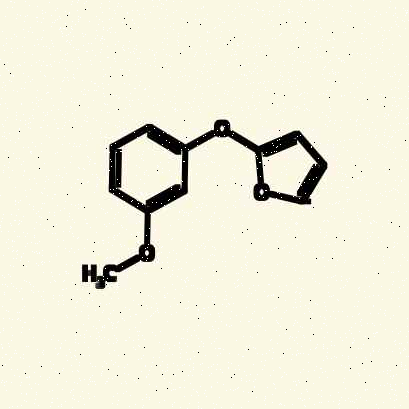 COc1cccc(Oc2cc[c]o2)c1